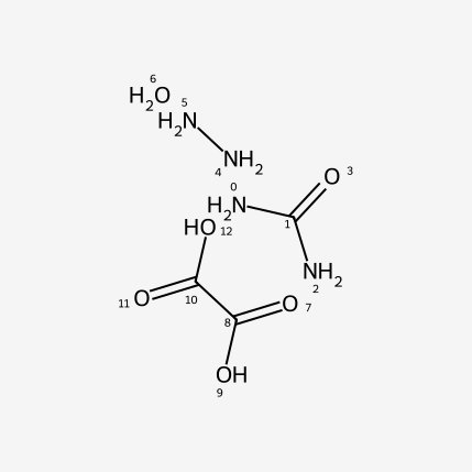 NC(N)=O.NN.O.O=C(O)C(=O)O